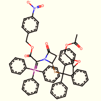 CC(=O)OC(C1OC1C)[C@H]1C(=O)N(C(C(=O)OCc2ccc([N+](=O)[O-])cc2)=P(c2ccccc2)(c2ccccc2)c2ccccc2)[C@@H]1SC(c1ccccc1)(c1ccccc1)c1ccccc1